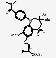 CCCCC1(CCCC)CN(c2ccc(C(=O)N(C)C)cc2)c2cc(SC)c(O/C=C(\F)C(=O)OCC)cc2S(=O)(=O)C1